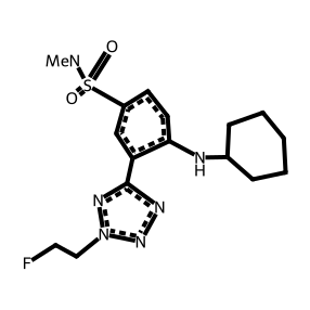 CNS(=O)(=O)c1ccc(NC2CCCCC2)c(-c2nnn(CCF)n2)c1